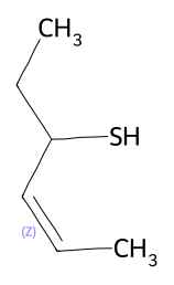 C/C=C\C(S)CC